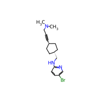 CN(C)CC#C[C@H]1CC[C@H](CNc2ccc(Br)cn2)CC1